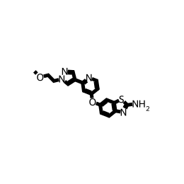 COCCn1cc(-c2cc(Oc3ccc4nc(N)sc4c3)ccn2)cn1